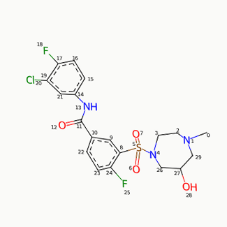 CN1CCN(S(=O)(=O)c2cc(C(=O)Nc3ccc(F)c(Cl)c3)ccc2F)CC(O)C1